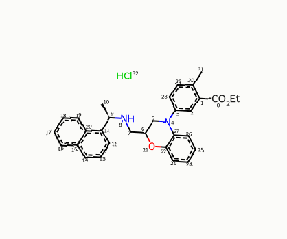 CCOC(=O)c1cc(N2CC(CN[C@H](C)c3cccc4ccccc34)Oc3ccccc32)ccc1C.Cl